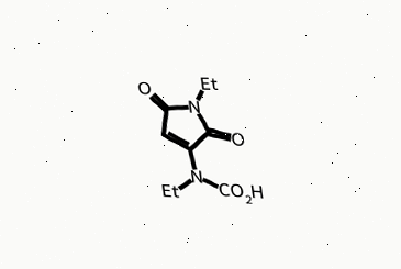 CCN1C(=O)C=C(N(CC)C(=O)O)C1=O